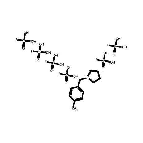 Cc1ccc(CN2CCCC2)cc1.O=P(O)(O)F.O=P(O)(O)F.O=P(O)(O)F.O=P(O)(O)F.O=P(O)(O)F.O=P(O)(O)F